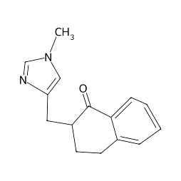 Cn1cnc(CC2CCc3ccccc3C2=O)c1